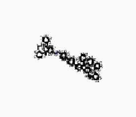 CC(C)(c1ccccc1)c1cc(/C=C/c2ccc(-c3ccc(-c4ccc5c(c4)C(c4ccccc4)(c4ccccc4)c4cc6c(cc4-5)C(C)(C)c4ccccc4N6c4ccccc4)cc3)cc2)ccc1Nc1ccccc1